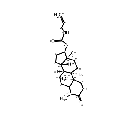 C=CCNC(=O)NC1CC[C@H]2[C@@H]3CCC4N(C)C(=O)CC[C@]4(C)[C@@H]3CC[C@]12C